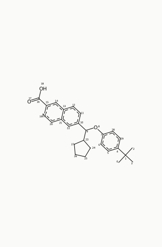 CC(C)(C)c1ccc(OC(c2ccc3cc(C(=O)O)ncc3c2)C2CCCC2)cc1